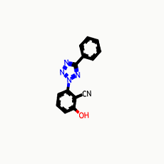 N#Cc1c(O)cccc1-n1nnc(-c2ccccc2)n1